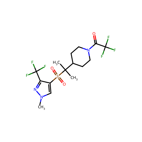 Cn1cc(S(=O)(=O)C(C)(C)C2CCN(C(=O)C(F)(F)F)CC2)c(C(F)(F)F)n1